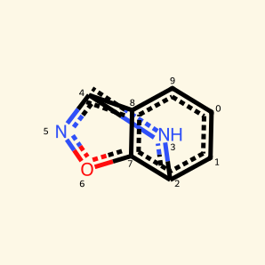 c1cc2[nH]c3noc2c3c1